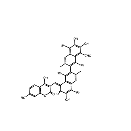 Cc1cc2c(c(O)c1-c1c(C)cc3c(C(C)C)c(O)c(O)c(C=O)c3c1O)/C(=C/c1c(O)c3ccc(O)cc3oc1=O)C(=O)C(O)=C2C(C)C